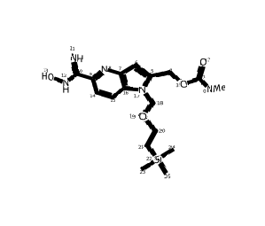 CNC(=O)OCc1cc2nc(C(=N)NO)ccc2n1COCC[Si](C)(C)C